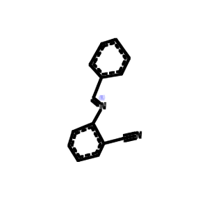 N#Cc1ccccc1/N=C/c1ccccc1